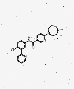 CN1CCCN(c2ccc(C(=O)Nc3ccc(Cl)c(-c4ccccn4)c3)cn2)CC1